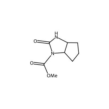 COC(=O)N1C(=O)NC2CCCC21